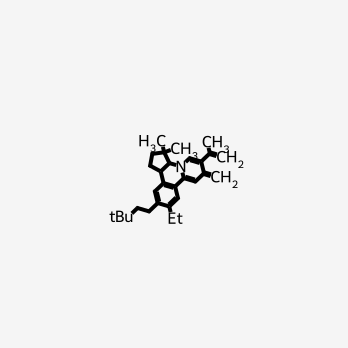 C=C(C)C1=CN2C(=CC1=C)c1cc(CC)c(CCC(C)(C)C)cc1C1CCC(C)(C)C12